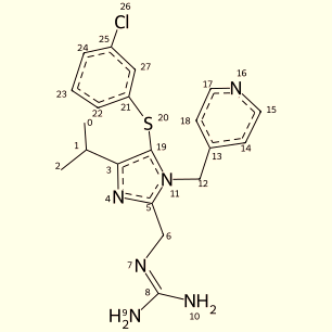 CC(C)c1nc(CN=C(N)N)n(Cc2ccncc2)c1Sc1cccc(Cl)c1